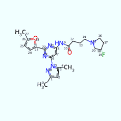 Cc1cc(C)n(-c2cc(NC(=O)CCCN3CC[C@H](F)C3)nc(-c3ccc(C)o3)n2)n1